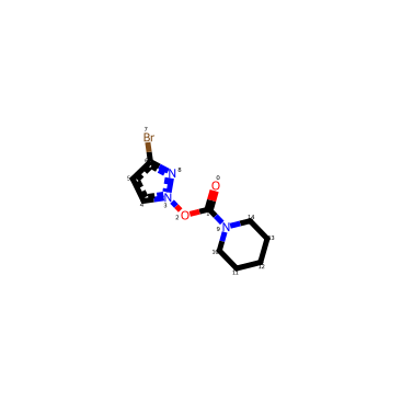 O=C(On1ccc(Br)n1)N1CCCCC1